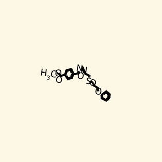 COC(=O)c1ccc(-c2nnc(CSOCCOc3ccccc3)o2)cc1